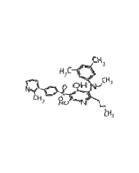 CCCCc1nc(O)c(S(=O)(=O)c2ccc(-c3cccnc3C)cc2)c(O)c1N(CC)c1cc(C)cc(C)c1